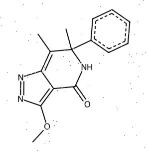 COC1=C2C(=O)NC(C)(c3ccccc3)C(C)=C2N=N1